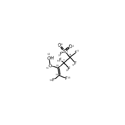 O=S(=O)(F)C(F)(F)C(F)(F)C(OO)=C(F)F